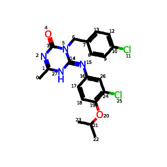 Cc1nc(=O)n(Cc2ccc(Cl)cc2)/c(=N/c2ccc(OC(C)C)c(Cl)c2)[nH]1